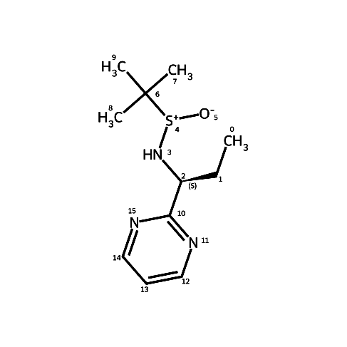 CC[C@H](N[S+]([O-])C(C)(C)C)c1ncccn1